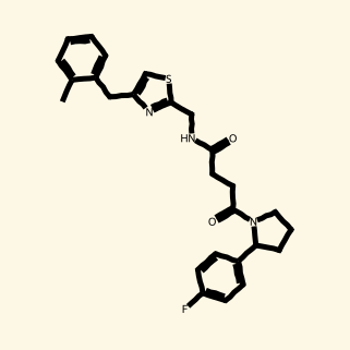 Cc1ccccc1Cc1csc(CNC(=O)CCC(=O)N2CCCC2c2ccc(F)cc2)n1